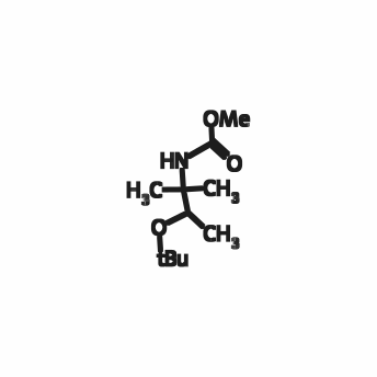 COC(=O)NC(C)(C)C(C)OC(C)(C)C